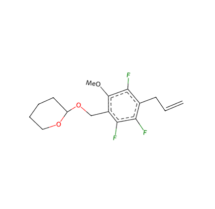 C=CCc1c(F)c(F)c(COC2CCCCO2)c(OC)c1F